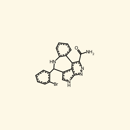 NC(=O)c1nnc2[nH]cc3c2c1-c1ccccc1NC3c1ccccc1Br